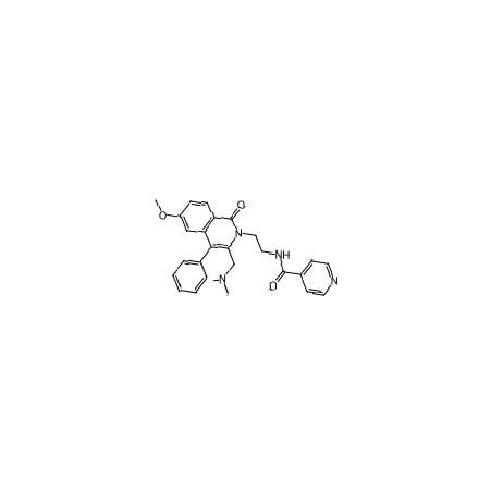 COc1ccc2c(=O)n(CCNC(=O)c3ccncc3)c(CN(C)C)c(-c3ccccc3)c2c1